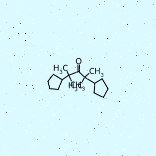 CC(C)(C(=O)C(C)(C)C1CCCC1)C1CCCC1